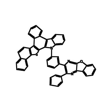 c1ccc(-c2nc3c(nc2-c2cccc(-n4c5ccccc5c5c6ccccc6c6c7ccc8ccccc8c7sc6c54)c2)oc2ccccc23)cc1